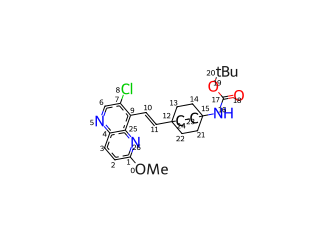 COc1ccc2ncc(Cl)c(C=CC34CCC(NC(=O)OC(C)(C)C)(CC3)CC4)c2n1